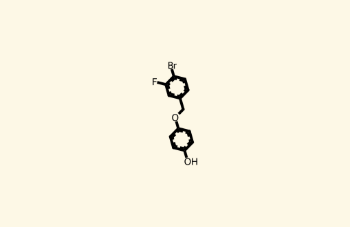 Oc1ccc(OCc2ccc(Br)c(F)c2)cc1